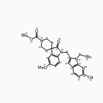 COc1ccc2c(c1)C1(CCN(C(=O)OC(C)(C)C)CC1)C(=O)N2Cc1cc2cnc(C#N)nc2n1CC(C)(C)C